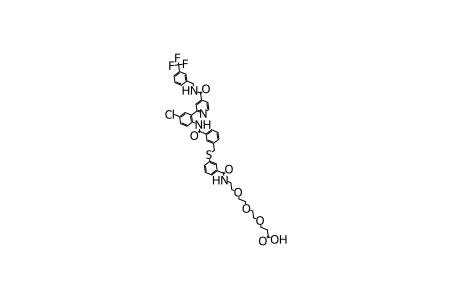 O=C(O)CCOCCOCCOCCNC(=O)c1cccc(SCc2cccc(C(=O)Nc3ccc(Cl)cc3-c3cc(C(=O)NCc4cccc(C(F)(F)F)c4)ccn3)c2)c1